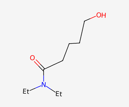 CCN(CC)C(=O)CCCCO